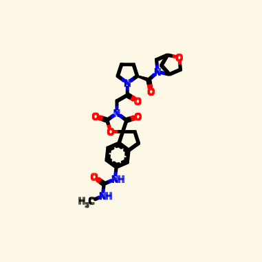 CNC(=O)Nc1ccc2c(c1)CCC21OC(=O)N(CC(=O)N2CCC[C@H]2C(=O)N2CC3CC2CO3)C1=O